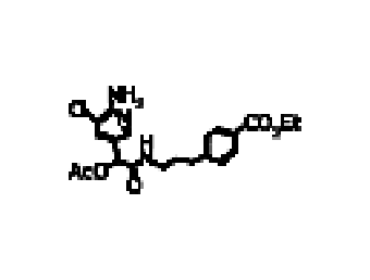 CCOC(=O)c1ccc(CCCNC(=O)C(OC(C)=O)c2cnc(N)c(Cl)c2)cc1